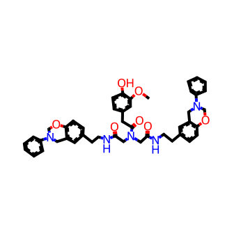 COc1cc(CC(=O)N(CC(=O)NCCc2ccc3c(c2)CN(c2ccccc2)CO3)CC(=O)NCCc2ccc3c(c2)CN(c2ccccc2)CO3)ccc1O